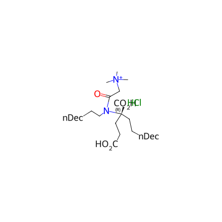 CCCCCCCCCCCCN(C(=O)C[N+](C)(C)C)[C@](CCCCCCCCCCCC)(CCC(=O)O)C(=O)O.Cl